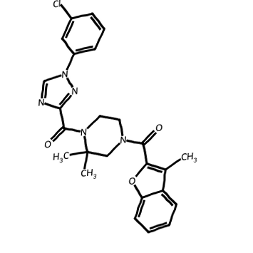 Cc1c(C(=O)N2CCN(C(=O)c3ncn(-c4cccc(Cl)c4)n3)C(C)(C)C2)oc2ccccc12